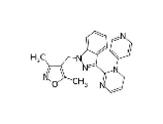 Cc1noc(C)c1Cn1nc(C2=NC=CCN2c2ccncc2)c2ccccc21